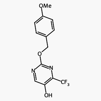 COc1ccc(COc2ncc(O)c(C(F)(F)F)n2)cc1